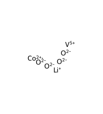 [Co+2].[Li+].[O-2].[O-2].[O-2].[O-2].[V+5]